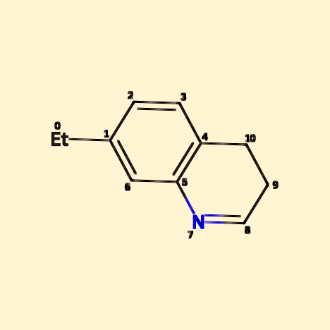 CCc1ccc2c(c1)N=CCC2